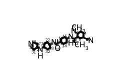 C=Nc1ccc(C#N)cc1/C(=C\C)Nc1ccc(C(=O)Nc2ccc(Nc3ccncc3)cc2)cc1